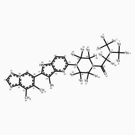 [2H]C([2H])([2H])N(C([2H])([2H])[2H])C([2H])([2H])C(=O)N1C([2H])([2H])C([2H])([2H])N(c2ccc3[nH]c(-c4cn5ncnc5c(C)c4C)c(C(C)C)c3n2)C([2H])([2H])C1([2H])[2H]